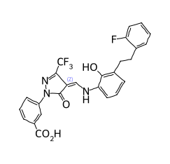 O=C(O)c1cccc(N2N=C(C(F)(F)F)/C(=C/Nc3cccc(CCc4ccccc4F)c3O)C2=O)c1